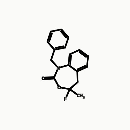 CC1(F)Cc2ccccc2N(Cc2ccccc2)C(=O)O1